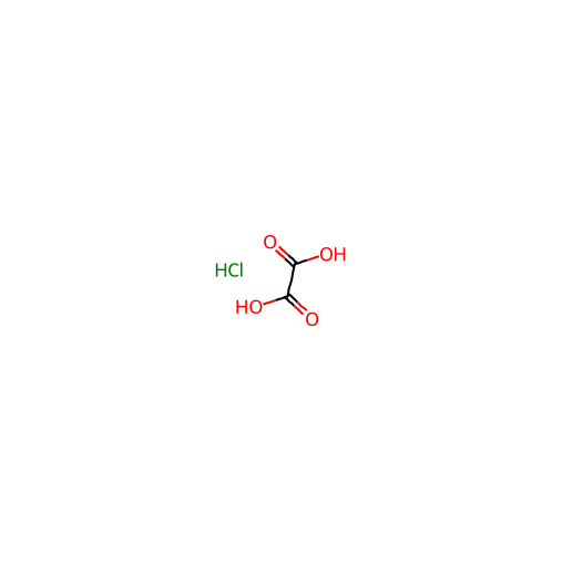 Cl.O=C(O)C(=O)O